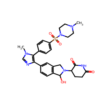 CN1CCN(S(=O)(=O)c2ccc(-c3c(-c4ccc5c(c4)CN(C4CCC(=O)NC4=O)C5O)ncn3C)cc2)CC1